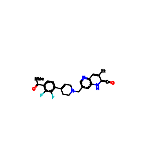 CCC1=Cc2ncc(CN3CC=C(c4ccc(C(=O)NC)c(F)c4F)CC3)cc2NC1=C=O